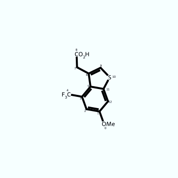 COc1cc(C(F)(F)F)c2c(CC(=O)O)csc2c1